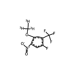 [2H]C([2H])([2H])Oc1cc(C(F)(F)F)c(F)cc1[N+](=O)[O-]